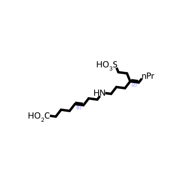 CCC/C=C(/CCCNCC/C=C/CCCC(=O)O)CCS(=O)(=O)O